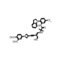 CC(C)(N/C=C(/C#CC1CN(c2ccc(C=O)c(C=O)c2)C1)C=N)C(=O)Nc1cc(C(F)(F)F)ccc1N1CCc2ccccc21